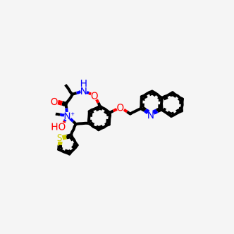 CC1NOc2cc(ccc2OCc2ccc3ccccc3n2)C(c2cccs2)[N+](C)(O)C1=O